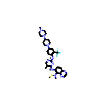 CSN(C)c1c(Nc2nc(Nc3ccc(N4CCC(N5CCN(C)CC5)CC4)cc3C(F)(F)F)ncc2C)ccc2nccnc12